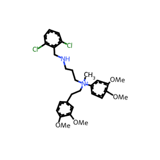 COc1ccc(CC[N+](C)(CCCNCc2c(Cl)cccc2Cl)c2ccc(OC)c(OC)c2)cc1OC